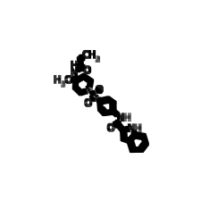 C=CC(=O)NC1(C)CCN(S(=O)(=O)c2ccc(NC(=O)c3cc4ccccc4[nH]3)cc2)CC1